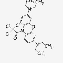 CCN(CC)c1ccc2c(c1)Oc1cc(N(CC)CC)ccc1N2C(=O)C(Cl)(Cl)Cl